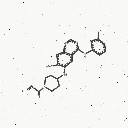 C=CC(=O)N1CCC(Nc2cc3c(Nc4cccc(C(C)=O)c4)ncnc3cc2OC)CC1